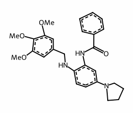 COc1cc(CNc2ccc(N3CCCC3)cc2NC(=O)c2ccccc2)cc(OC)c1OC